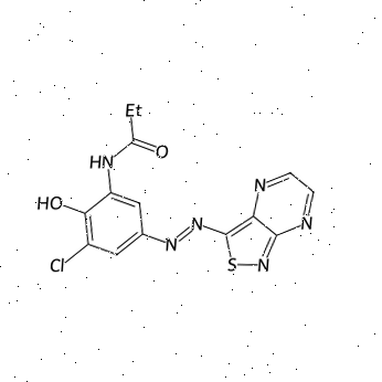 CCC(=O)Nc1cc(/N=N/c2snc3nccnc23)cc(Cl)c1O